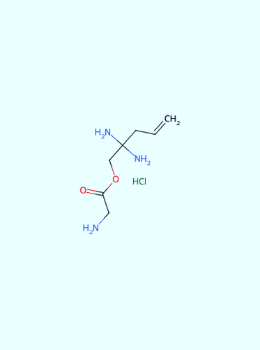 C=CCC(N)(N)COC(=O)CN.Cl